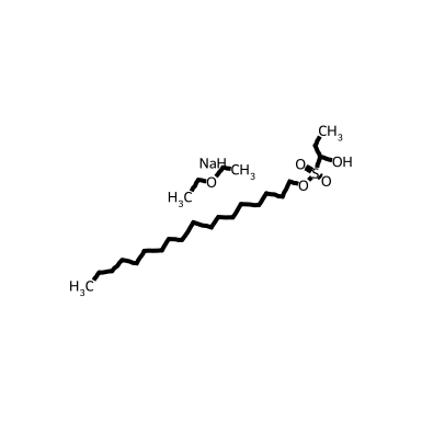 CCCCCCCCCCCCCCCCCCOS(=O)(=O)C(O)CC.CCOCC.[NaH]